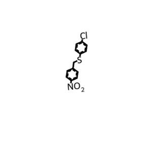 O=[N+]([O-])c1ccc(CSc2ccc(Cl)cc2)cc1